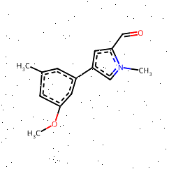 COc1cc(C)cc(-c2cc(C=O)n(C)c2)c1